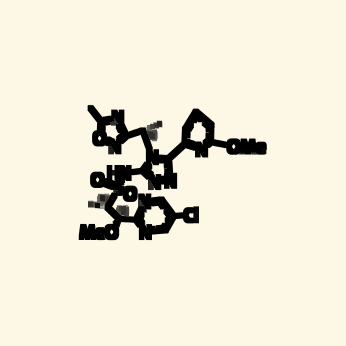 COc1cccc(-c2nnc(NS(=O)(=O)[C@@H](C)[C@H](OC)c3ncc(Cl)cn3)n2[C@@H](C)c2noc(C)n2)n1